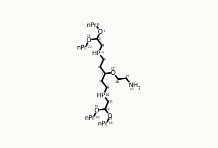 CCCOC(CPCCC(CCPCC(OCCC)OCCC)OCCN)OCCC